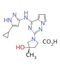 C[C@]1(O)C[C@@H](C(=O)O)N(c2nc(Nc3cc(C4CC4)[nH]n3)c3cccn3n2)C1